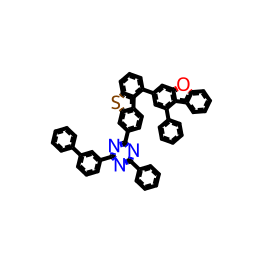 c1ccc(-c2cccc(-c3nc(-c4ccccc4)nc(-c4ccc5c(c4)sc4cccc(-c6cc(-c7ccccc7)c7c(c6)oc6ccccc67)c45)n3)c2)cc1